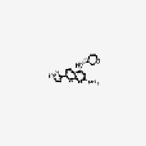 Nc1cc(N[C@H]2CCOC2)c2ccc(-c3cc[nH]n3)nc2n1